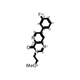 COCCn1cnc2cc(-c3cccc(F)c3)cnc2c1=O